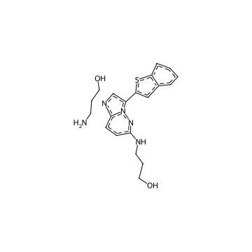 NCCCO.OCCCNc1ccc2ncc(-c3cc4ccccc4s3)n2n1